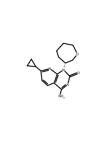 Nc1nc(=O)n([C@@H]2CCCCOC2)c2nc(C3CC3)ccc12